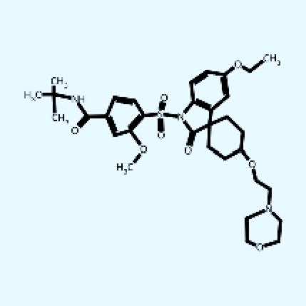 CCOc1ccc2c(c1)C1(CCC(OCCN3CCOCC3)CC1)C(=O)N2S(=O)(=O)c1ccc(C(=O)NC(C)(C)C)cc1OC